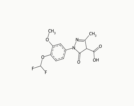 COc1cc(N2N=C(C)C(C(=O)O)C2=O)ccc1OC(F)F